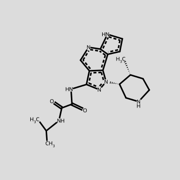 CC(C)NC(=O)C(=O)Nc1nn([C@H]2CNCC[C@H]2C)c2c1cnc1[nH]ccc12